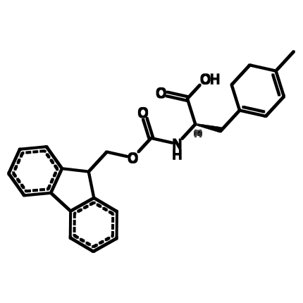 CC1=CC=C(C[C@@H](NC(=O)OCC2c3ccccc3-c3ccccc32)C(=O)O)CC1